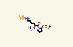 NC(CCCCNPP)C(=O)N1CCCC1C(=O)O